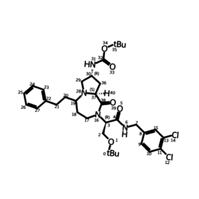 CC(C)(C)OC[C@H](C(=O)NCc1ccc(Cl)c(Cl)c1)N1CCC(CCc2ccccc2)N2C[C@H](NC(=O)OC(C)(C)C)C[C@H]2C1=O